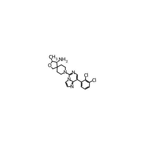 C[C@@H]1OCC2(CCN(c3ncc(-c4cccc(Cl)c4Cl)c4nccn34)CC2)[C@@H]1N